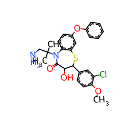 COc1ccc(C2Sc3cc(Oc4ccccc4)ccc3N(C(C)(C)CN)C(=O)C2O)cc1Cl